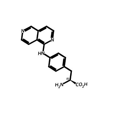 N[C@@H](Cc1ccc(Nc2nccc3cnccc23)cc1)C(=O)O